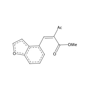 COC(=O)C(=Cc1cccc2occc12)C(C)=O